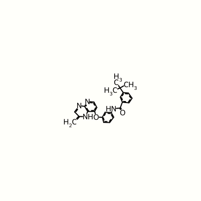 C=C1C=Nc2nccc(Oc3cccc(NC(=O)c4cccc(C(C)(C)C)c4)c3)c2N1